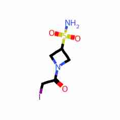 NS(=O)(=O)C1CN(C(=O)CI)C1